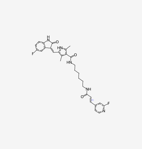 Cc1[nH]c(C=C2C(=O)Nc3ccc(F)cc32)c(C)c1C(=O)NCCCCCCNC(=O)/C=C/c1ccnc(F)c1